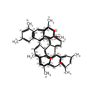 Cc1cc(C)cc(P(c2cc(C)cc(C)c2)c2ccc3ccc4ccccc4c3c2-c2c(P(c3cc(C)cc(C)c3)c3cc(C)cc(C)c3)ccc3ccc4ccccc4c23)c1